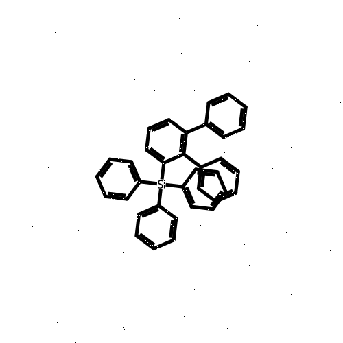 c1ccc(-c2cccc([Si](c3ccccc3)(c3ccccc3)c3ccccc3)c2-c2ccccc2)cc1